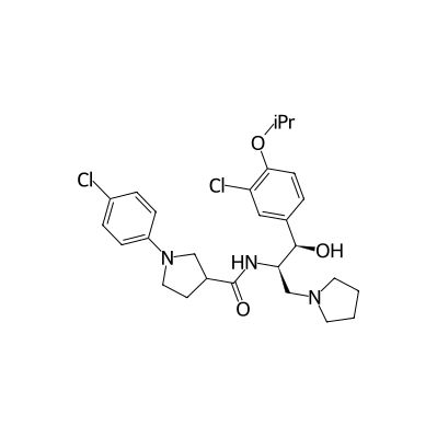 CC(C)Oc1ccc([C@@H](O)[C@@H](CN2CCCC2)NC(=O)C2CCN(c3ccc(Cl)cc3)C2)cc1Cl